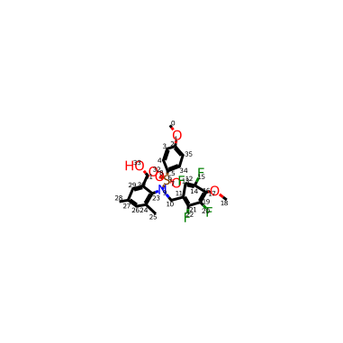 COc1ccc(S(=O)(=O)N(Cc2c(F)c(F)c(OC)c(F)c2F)c2c(C)cc(C)cc2C(=O)O)cc1